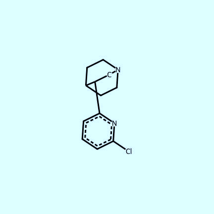 Clc1cccc(C2CN3CCC2CC3)n1